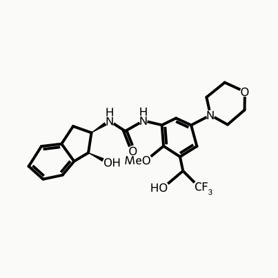 COc1c(NC(=O)N[C@@H]2Cc3ccccc3[C@@H]2O)cc(N2CCOCC2)cc1C(O)C(F)(F)F